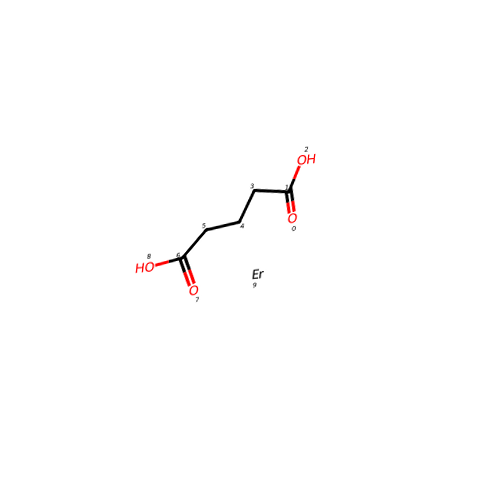 O=C(O)CCCC(=O)O.[Er]